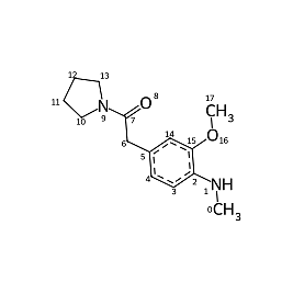 CNc1ccc(CC(=O)N2CCCC2)cc1OC